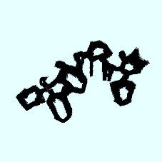 Cc1cccc(-c2ccccc2)c1Nc1cccc(Oc2ccc3c(c2C)P(=O)(c2ccccn2)c2ccccc2-3)c1C